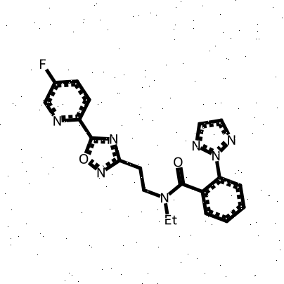 CCN(CCc1noc(-c2ccc(F)cn2)n1)C(=O)c1ccccc1-n1nccn1